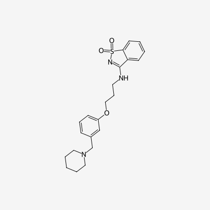 O=S1(=O)N=C(NCCCOc2cccc(CN3CCCCC3)c2)c2ccccc21